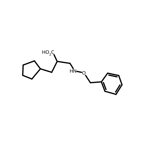 O=C(O)C(CNOCc1ccccc1)CC1CCCC1